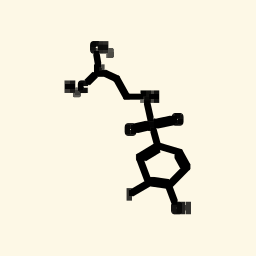 CN(C)CCNS(=O)(=O)c1ccc(O)c(I)c1